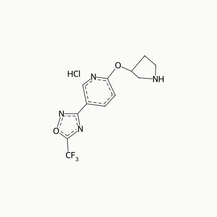 Cl.FC(F)(F)c1nc(-c2ccc(OC3CCNC3)nc2)no1